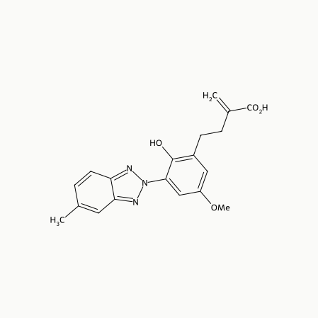 C=C(CCc1cc(OC)cc(-n2nc3ccc(C)cc3n2)c1O)C(=O)O